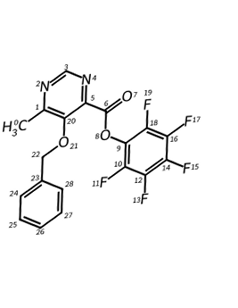 Cc1ncnc(C(=O)Oc2c(F)c(F)c(F)c(F)c2F)c1OCc1ccccc1